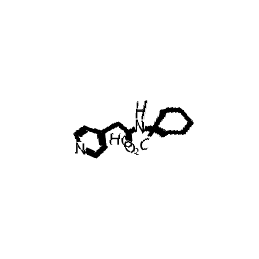 O=C(Cc1ccncc1)NC1(C(=O)O)CCCCC1